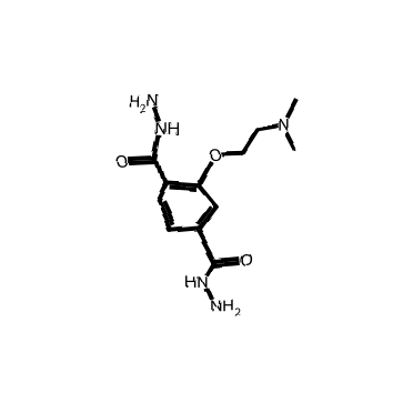 CN(C)CCOc1cc(C(=O)NN)ccc1C(=O)NN